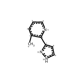 Cc1cccnc1-c1c[c][nH]n1